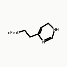 CCCCCCCC1=CCNC=N1